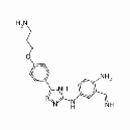 N=Cc1cc(Nc2nnc(-c3ccc(OCCCN)cc3)[nH]2)ccc1N